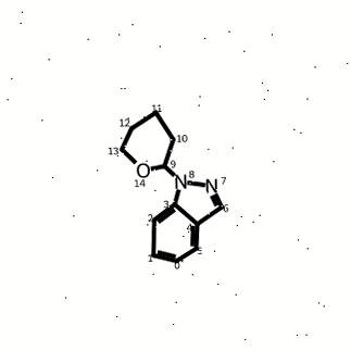 [c]1ccc2c(c1)cnn2C1CCCCO1